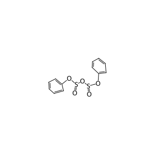 O=S(Oc1ccccc1)OS(=O)Oc1ccccc1